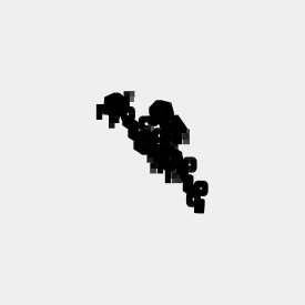 CCOC(=O)CCNC(=O)N1C[C@H]2CC(c3ccc(CCCOc4c(F)ccc(F)c4F)cc3)=C(C(=O)NC3(Cc4ccccc4Cl)CC3)[C@@H](C1)N2